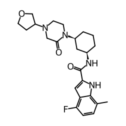 Cc1ccc(F)c2cc(C(=O)N[C@@H]3CCC[C@H](N4CCN(C5CCOC5)CC4=O)C3)[nH]c12